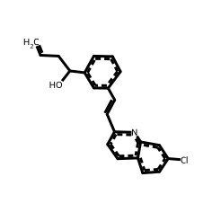 C=CCC(O)c1cccc(C=Cc2ccc3ccc(Cl)cc3n2)c1